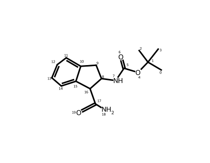 CC(C)(C)OC(=O)NC1Cc2ccccc2C1C(N)=O